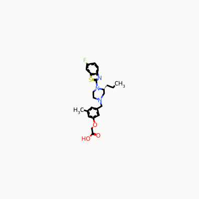 CCC[C@@H]1CN(Cc2cc(C)cc(OCC(=O)O)c2)CCN1c1nc2ccc(F)cc2s1